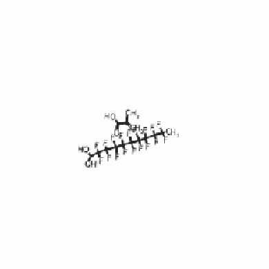 C=C(C)C(=O)O.CC(F)(F)C(F)(F)C(F)(F)C(F)(F)C(F)(F)C(F)(F)C(F)(F)C(F)(F)C(F)(F)C(O)O